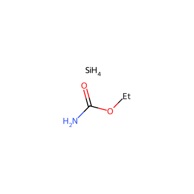 CCOC(N)=O.[SiH4]